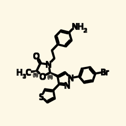 C[C@@H]1O[C@H](c2cn(-c3ccc(Br)cc3)nc2-c2ccsc2)N(CCc2ccc(N)cc2)C1=O